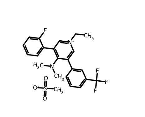 CC[n+]1cc(-c2cccc(C(F)(F)F)c2)c(N(C)C)c(-c2ccccc2F)c1.CS(=O)(=O)[O-]